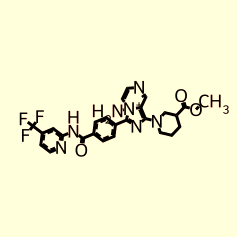 COC(=O)C1CCCN(C2=C3C=NC=C[N+]3(N)C(c3ccc(C(=O)Nc4cc(C(F)(F)F)ccn4)cc3)=N2)C1